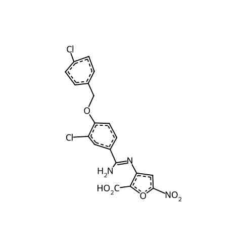 NC(=Nc1cc([N+](=O)[O-])oc1C(=O)O)c1ccc(OCc2ccc(Cl)cc2)c(Cl)c1